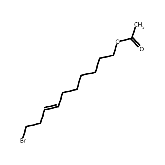 CC(=O)OCCCCCCC=CCCBr